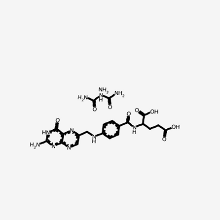 N.NC(=O)NC(N)=O.Nc1nc2ncc(CNc3ccc(C(=O)NC(CCC(=O)O)C(=O)O)cc3)nc2c(=O)[nH]1